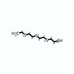 CCSCCSCCSCCS